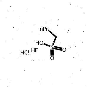 CCCCS(=O)(=O)O.Cl.F